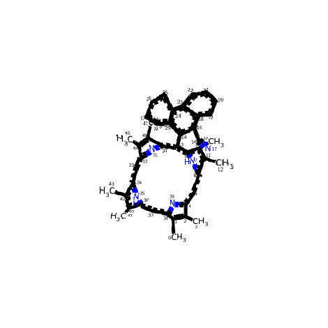 CC1=C(C)c2cc3[nH]c(c(C)c3C)c(-c3c(C#N)c4ccccc4c4ccccc34)c3nc(cc4[nH]c(cc1n2)c(C)c4C)C(C)=C3C